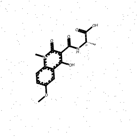 COc1ccc2c(c1)c(O)c(C(=O)N[C@@H](C)C(=O)O)c(=O)n2C